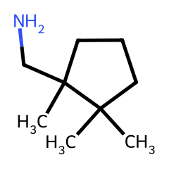 CC1(C)CCCC1(C)CN